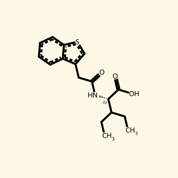 CCC(CC)[C@H](NC(=O)Cc1csc2ccccc12)C(=O)O